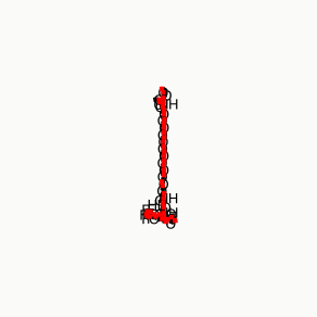 CC(C)(C)OC(=O)CC[C@H](NC(=O)CCOCCOCCOCCOCCOCCOCCOCCOCCOCCOCCOCCOCCNC(=O)CNC(=O)CNC(=O)c1cc(N2C(=O)C=CC2=O)ccc1CCC(=O)Oc1c(F)c(F)c(F)c(F)c1F)C(=O)OC(C)(C)C